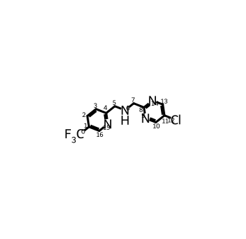 FC(F)(F)c1ccc(CNCc2ncc(Cl)cn2)nc1